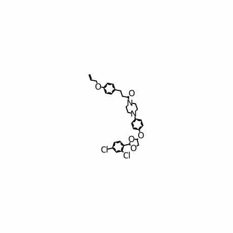 C=CCOc1ccc(CCC(=O)N2CCN(c3ccc(OC4COC(c5ccc(Cl)cc5Cl)O4)cc3)CC2)cc1